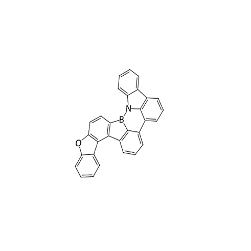 c1cc2c3c(c1)-c1cccc4c5ccccc5n(c14)B3c1ccc3oc4ccccc4c3c1-2